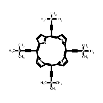 C[Si](C)(C)C#CC1=C2C=CC(=N2)C(C#C[Si](C)(C)C)=C2C=CC(=N2)C(C#C[Si](C)(C)C)=C2C=CC(=N2)C(C#C[Si](C)(C)C)=C2C=CC1=N2